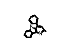 Cc1cc2c3ccccc3n3c4ccccc4c(n1)c23